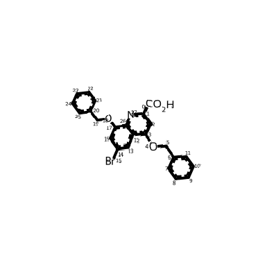 O=C(O)c1cc(OCc2ccccc2)c2cc(Br)cc(OCc3ccccc3)c2n1